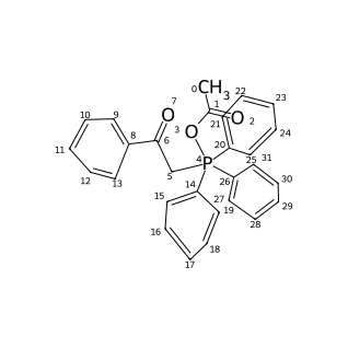 CC(=O)OP(CC(=O)c1ccccc1)(c1ccccc1)(c1ccccc1)c1ccccc1